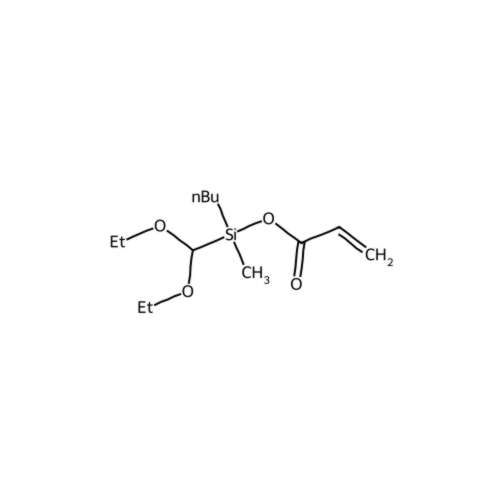 C=CC(=O)O[Si](C)(CCCC)C(OCC)OCC